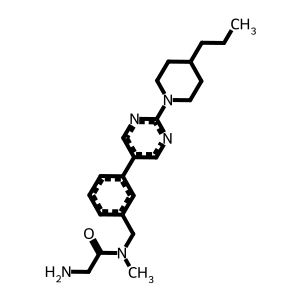 CCCC1CCN(c2ncc(-c3cccc(CN(C)C(=O)CN)c3)cn2)CC1